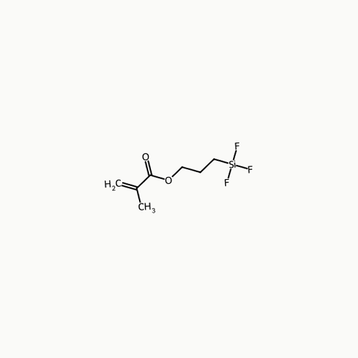 C=C(C)C(=O)OCCC[Si](F)(F)F